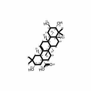 CC1(C)C[C@H]2C3=CC[C@@H]4[C@@]5(C)C[C@@H](O)[C@H](O)C(C)(C)[C@@H]5CC[C@@]4(C)[C@]3(C)CC[C@@]2(C(=O)O)C[C@@H]1O